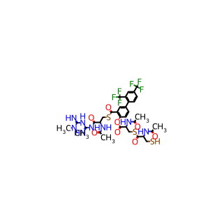 CC(=O)NC(CSC(=O)c1cc(-c2ccc(C(F)(F)F)cc2C(F)(F)F)ccc1OC(=O)C(CSC(=O)C(CS)NC(C)=O)NC(C)=O)C(=O)NC(=N)NC(=N)N(C)C